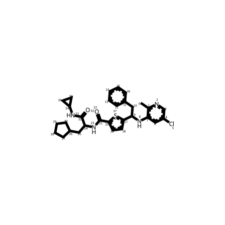 Cc1ncc(Cl)cc1NC(Cc1ccccc1)c1ccc(C(=O)NC(CC2CCCC2)C(=O)NC2CC2)s1